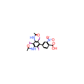 CC(=O)Nc1c(I)c(NC(C)=O)c(I)c(-c2ccc(C(=O)O)c([N+](=O)[O-])c2)c1I